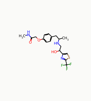 CNC(=O)COc1ccc(CC(C)NCC(O)c2csc(C(F)(F)F)n2)cc1